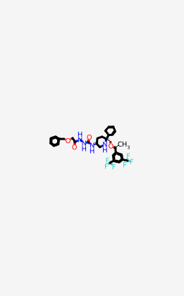 C[C@@H](OC[C@@]1(C2C=CC=CC2)CC[C@H](NC(=O)NNC(=O)COCc2ccccc2)CN1)c1cc(C(F)(F)F)cc(C(F)(F)F)c1